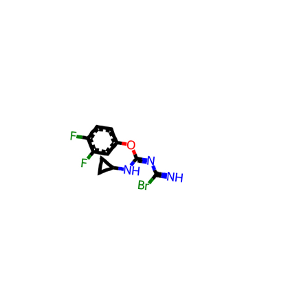 N=C(Br)/N=C(\NC1CC1)Oc1ccc(F)c(F)c1